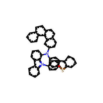 c1ccc(-n2c3ccccc3c3cccc(N(c4ccc5sc6ccccc6c5c4)c4ccc5ccc6ccc7ccccc7c6c5c4)c32)cc1